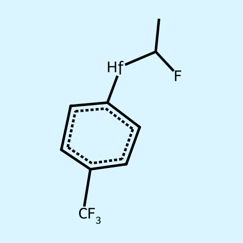 C[CH](F)[Hf][c]1ccc(C(F)(F)F)cc1